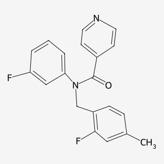 Cc1ccc(CN(C(=O)c2ccncc2)c2cccc(F)c2)c(F)c1